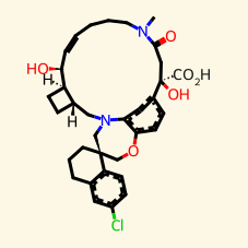 CN1CCC/C=C\[C@H](O)[C@@H]2CC[C@H]2CN2C[C@@]3(CCCc4cc(Cl)ccc43)COc3ccc(cc32)[C@@](O)(C(=O)O)CC1=O